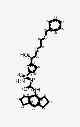 NS(=O)(=NC(=O)Nc1c2c(cc3c1CCC3)CCC2)c1ccc([C@@H](O)COCCOCc2ccccc2)s1